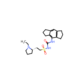 CCN1CCC[C@H]1CCS(=O)(=O)NC(=O)Nc1c2c(cc3c1CCC3)CCC2